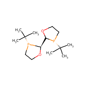 CC(C)(C)[P@@]1CCOC1[C@H]1OCC[P@]1C(C)(C)C